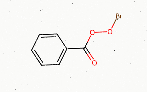 O=C(OOBr)c1ccccc1